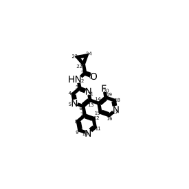 O=C(Nc1cnc(-c2ccncc2)c(-c2ccncc2F)n1)C1CC1